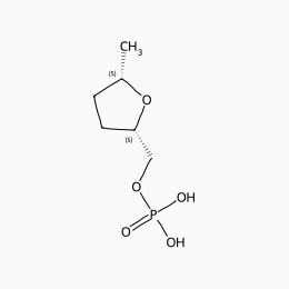 C[C@H]1CC[C@@H](COP(=O)(O)O)O1